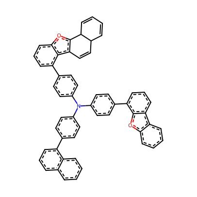 C1=CC2C=Cc3c(oc4cccc(-c5ccc(N(c6ccc(-c7cccc8ccccc78)cc6)c6ccc(-c7cccc8c7oc7ccccc78)cc6)cc5)c34)C2C=C1